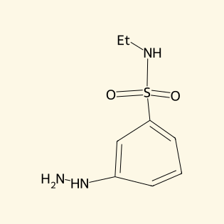 CCNS(=O)(=O)c1cccc(NN)c1